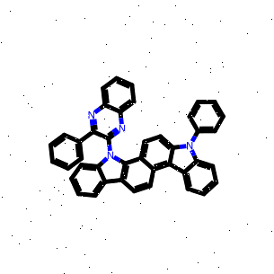 c1ccc(-c2nc3ccccc3nc2-n2c3ccccc3c3ccc4c(ccc5c4c4ccccc4n5-c4ccccc4)c32)cc1